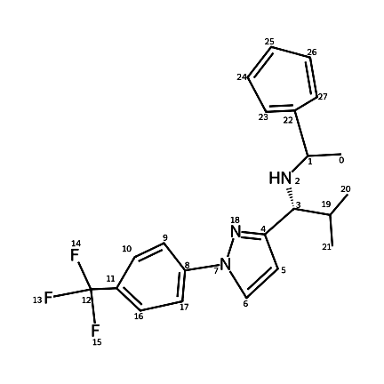 CC(N[C@@H](c1ccn(-c2ccc(C(F)(F)F)cc2)n1)C(C)C)c1ccccc1